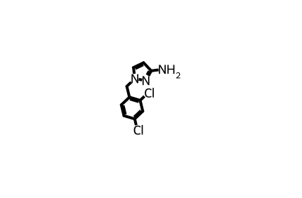 Nc1ccn(Cc2ccc(Cl)cc2Cl)n1